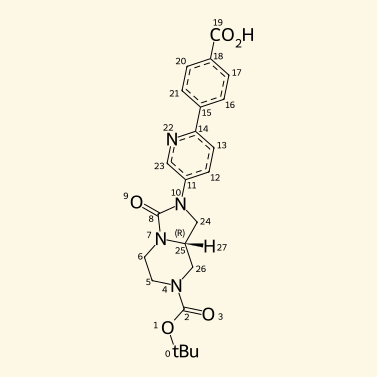 CC(C)(C)OC(=O)N1CCN2C(=O)N(c3ccc(-c4ccc(C(=O)O)cc4)nc3)C[C@@H]2C1